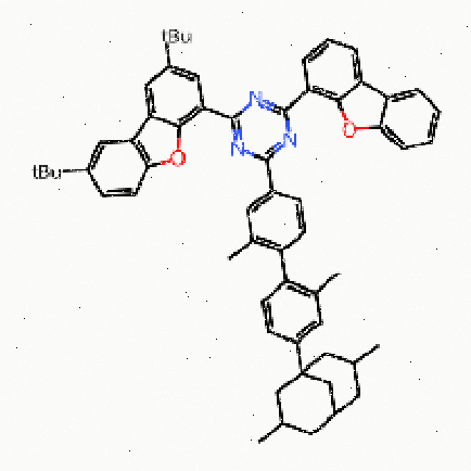 Cc1cc(-c2nc(-c3cccc4c3oc3ccccc34)nc(-c3cc(C(C)(C)C)cc4c3oc3ccc(C(C)(C)C)cc34)n2)ccc1-c1ccc(C23CC(C)CC(CC(C)C2)C3)cc1C